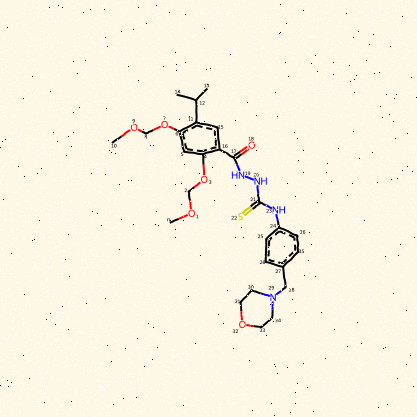 COCOc1cc(OCOC)c(C(C)C)cc1C(=O)NNC(=S)Nc1ccc(CN2CCOCC2)cc1